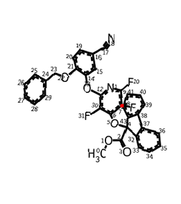 COC(=O)C1(Oc2c(F)c(F)nc(Oc3cc(C#N)ccc3OCc3ccccc3)c2F)c2ccccc2-c2ccccc21